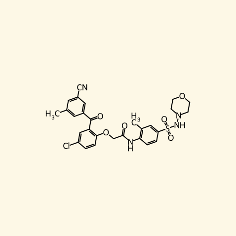 Cc1cc(C#N)cc(C(=O)c2cc(Cl)ccc2OCC(=O)Nc2ccc(S(=O)(=O)NN3CCOCC3)cc2C)c1